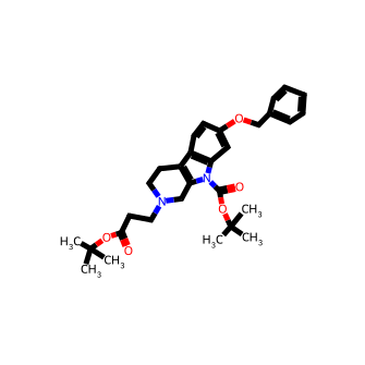 CC(C)(C)OC(=O)CCN1CCc2c(n(C(=O)OC(C)(C)C)c3cc(OCc4ccccc4)ccc23)C1